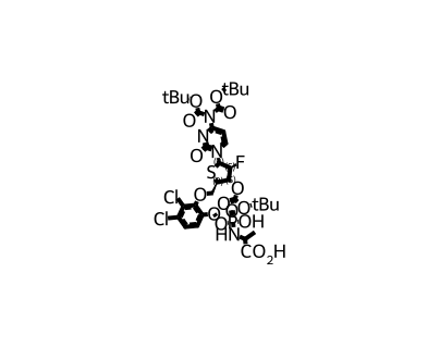 CC(NP(=O)(O)OOc1ccc(Cl)c(Cl)c1OC[C@H]1S[C@@H](n2ccc(N(C(=O)OC(C)(C)C)C(=O)OC(C)(C)C)nc2=O)[C@@H](F)[C@@H]1OC(=O)OC(C)(C)C)C(=O)O